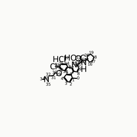 Cc1ccccc1-c1ccc(C(=O)NC2(C(=O)O)CCCCC2)nc1-c1ccc(Cl)c(OCCCN(C)C)c1.Cl